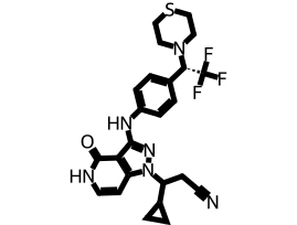 N#CCC(C1CC1)n1nc(Nc2ccc([C@H](N3CCSCC3)C(F)(F)F)cc2)c2c(=O)[nH]ccc21